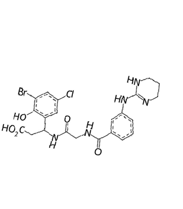 O=C(O)CC(NC(=O)CNC(=O)c1cccc(NC2=NCCCN2)c1)c1cc(Cl)cc(Br)c1O